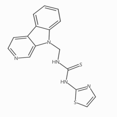 S=C(NCn1c2ccccc2c2ccncc21)Nc1nccs1